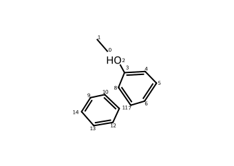 CC.Oc1ccccc1.c1ccccc1